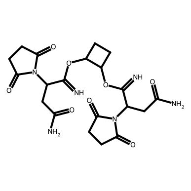 N=C(OC1CCC1OC(=N)C(CC(N)=O)N1C(=O)CCC1=O)C(CC(N)=O)N1C(=O)CCC1=O